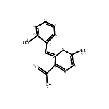 NC1=CC=C(C(=O)O)C(=Cc2ccccc2O)C1